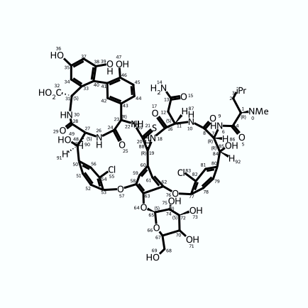 CN[C@H](CC(C)C)C(=O)N[C@H]1C(=O)N[C@@H](CC(N)=O)C(=O)N[C@H]2C(=S)N[C@H]3C(=O)N[C@H](C(=O)N[C@H](C(=O)O)c4cc(O)cc(O)c4-c4cc3ccc4O)[C@H](O)c3ccc(c(Cl)c3)Oc3cc2cc(c3O[C@@H]2OC(CO)C(O)[C@H](O)[C@H]2O)Oc2ccc(cc2Cl)[C@H]1O